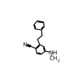 CNc1ccc(C#N)c(CCc2ccccc2)c1